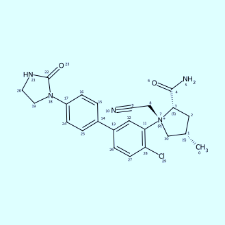 C[C@H]1C[C@@H](C(N)=O)[N@@+](CC#N)(c2cc(-c3ccc(N4CCNC4=O)cc3)ccc2Cl)C1